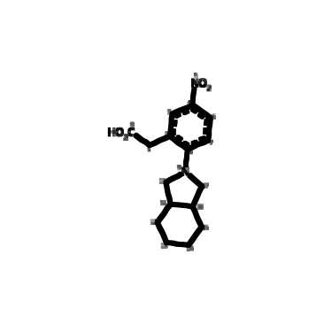 O=C(O)Cc1cc([N+](=O)[O-])ccc1N1CC2CCCCC2C1